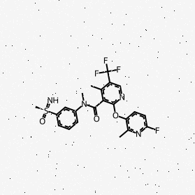 Cc1nc(F)ccc1Oc1ncc(C(F)(F)F)c(C)c1C(=O)N(C)c1cccc([S@@](C)(=N)=O)c1